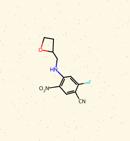 N#Cc1cc([N+](=O)[O-])c(NCC2CCO2)cc1F